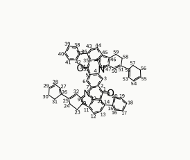 O=c1c2cc3c(cc2n2c4c(c5ccc(-c6ccccc6)c1c52)CCC(C1=CC=CCC1)=C4)c(=O)c1c(-c2ccccc2)ccc2c4c(n3c21)C=C(C1=CC=CCC1)CC4